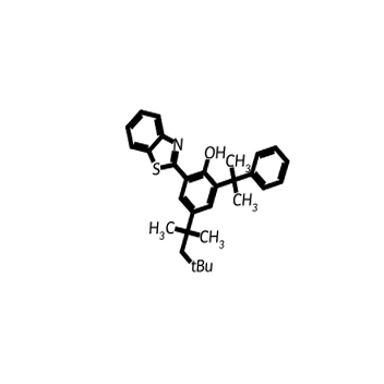 CC(C)(C)CC(C)(C)c1cc(-c2nc3ccccc3s2)c(O)c(C(C)(C)c2ccccc2)c1